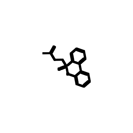 C=C(C)CCP1(=O)Oc2ccccc2-c2ccccc21